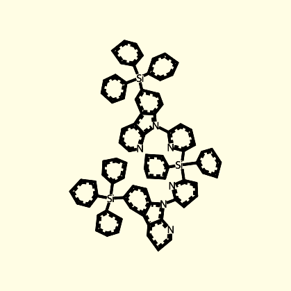 c1ccc([Si](c2ccccc2)(c2ccccc2)c2ccc3c(c2)c2cccnc2n3-c2cccc([Si](c3ccccc3)(c3ccccc3)c3cccc(-n4c5ccc([Si](c6ccccc6)(c6ccccc6)c6ccccc6)cc5c5cccnc54)n3)n2)cc1